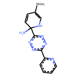 CC(=O)NC1=CNC(N)(c2nnc(-c3ccccn3)nn2)C=C1